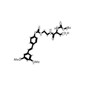 COc1cc(C=Cc2ccc(OC(=O)OCCNC(=O)C(CC(=O)O)NC(=O)OC(C)(C)C)cc2)cc(OC)c1